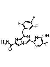 NC(=O)c1cn2cc(-c3ncc(F)c(O)n3)nc(Cc3cc(F)c(F)cc3F)c2n1